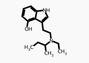 CCC(C)N(CC)CCc1c[nH]c2cccc(O)c12